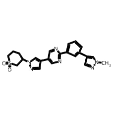 Cn1cc(-c2cccc(-c3ncc(-c4cnn(C5CCCS(=O)(=O)C5)c4)cn3)c2)cn1